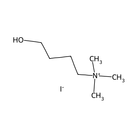 C[N+](C)(C)CCCCO.[I-]